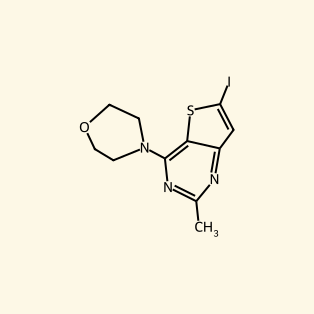 Cc1nc(N2CCOCC2)c2sc(I)cc2n1